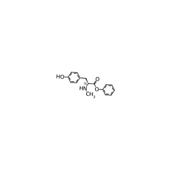 CN[C@@H](Cc1ccc(O)cc1)C(=O)Oc1ccccc1